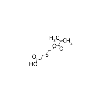 C=C(C)C(=O)OCCSCCC(=O)O